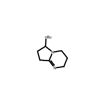 CCCCC1CCC2=NCCCN21